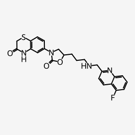 O=C1CSc2ccc(N3CC(CCCNCc4ccc5c(F)cccc5n4)OC3=O)cc2N1